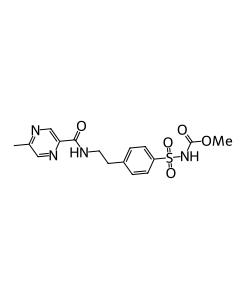 COC(=O)NS(=O)(=O)c1ccc(CCNC(=O)c2cnc(C)cn2)cc1